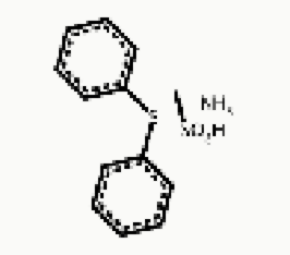 CS(=O)(=O)O.N.c1ccc(Sc2ccccc2)cc1